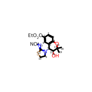 CCOC(=O)c1ccc2c(c1)[C@@H](N1CCSC1=NC#N)[C@H](O)C(C)(C)O2